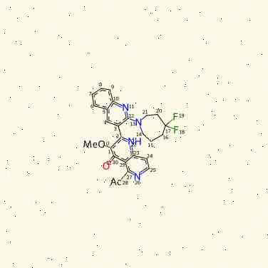 COc1c(-c2cc3ccccc3nc2N2CCCC(F)(F)CC2)[nH]c2ccnc(C(C)=O)c2c1=O